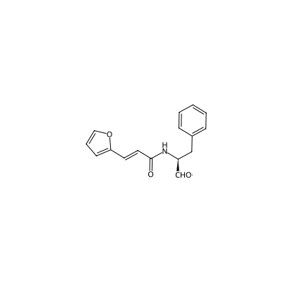 O=[C][C@H](Cc1ccccc1)NC(=O)C=Cc1ccco1